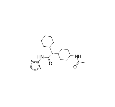 CC(=O)NC1CCC(N(C(=O)Nc2nccs2)C2CCCCC2)CC1